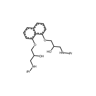 CC(C)NCC(O)COc1cccc2cccc(OCC(O)CNC(C)C)c12